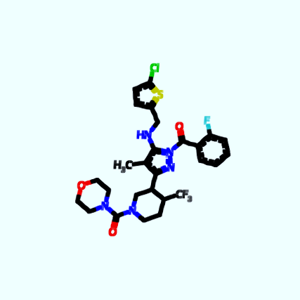 Cc1c(C2CN(C(=O)N3CCOCC3)CCC2C(F)(F)F)nn(C(=O)c2ccccc2F)c1NCc1ccc(Cl)s1